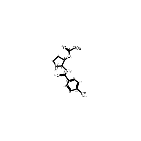 CC(C)(C)C(=O)OC1CCNC1NC(=O)c1ccc(C(F)(F)F)cc1